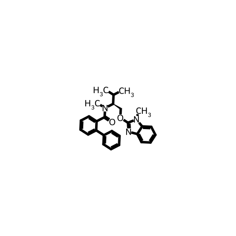 CC(C)[C@@H](COc1nc2ccccc2n1C)N(C)C(=O)c1ccccc1-c1ccccc1